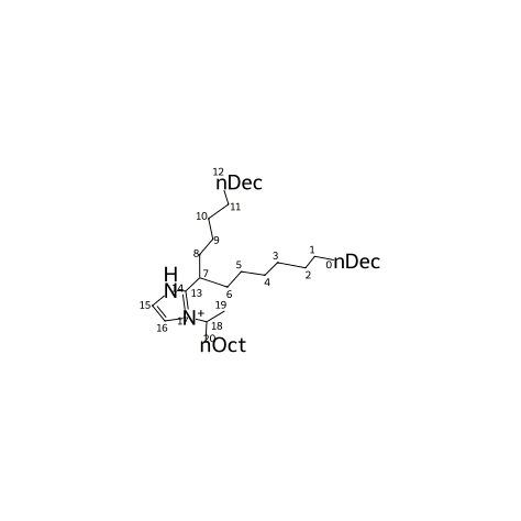 CCCCCCCCCCCCCCCCC(CCCCCCCCCCCCCC)c1[nH]cc[n+]1C(C)CCCCCCCC